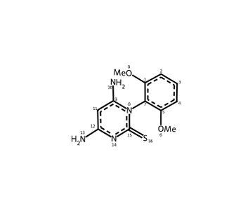 COc1cccc(OC)c1-n1c(N)cc(N)nc1=S